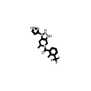 Cc1c(C(=O)N2CC3=C(CC2C)N(c2cc[nH]n2)NN3)cccc1C(F)(F)F